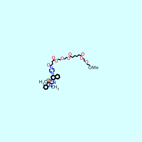 COCCOCCOC(=O)CCCCC(=O)OCCOCCOC(=O)CCC(=O)N1CCN(c2cc3c(c4ccccc24)N=CC2(O3)N(C)c3ccccc3C2(C)C)CC1